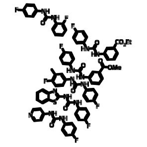 CCOC(=O)c1cccc(NC(=O)Nc2ccc(F)cc2)c1.COC(=O)c1cccc(NC(=O)Nc2ccc(F)cc2)c1.Cc1cc(NC(=O)Nc2ccc(F)cc2)ccc1F.O=C(Nc1ccc(F)cc1)Nc1ccccc1F.O=C(Nc1ccc(F)cc1)Nc1nc2ccccc2s1.O=C(Nc1ccncc1)Nc1ccc(F)cc1